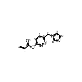 C=CC(=O)Oc1ccc(Cn2ccnc2)nn1